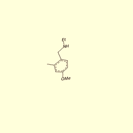 [CH2]CNCc1ccc(OC)cc1C